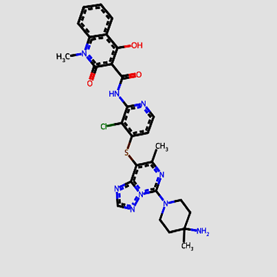 Cc1nc(N2CCC(C)(N)CC2)n2ncnc2c1Sc1ccnc(NC(=O)c2c(O)c3ccccc3n(C)c2=O)c1Cl